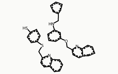 Sc1ccc(SCc2ccc3ccccc3n2)cc1.c1ccc(CNc2cccc(OCc3ccc4ccccc4n3)c2)cc1